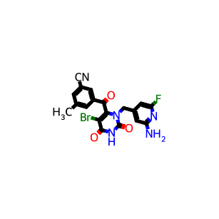 Cc1cc(C#N)cc(C(=O)c2c(Br)c(=O)[nH]c(=O)n2Cc2cc(N)nc(F)c2)c1